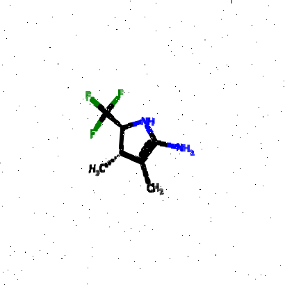 CC1=C(N)N[C@H](C(F)(F)F)[C@H]1C